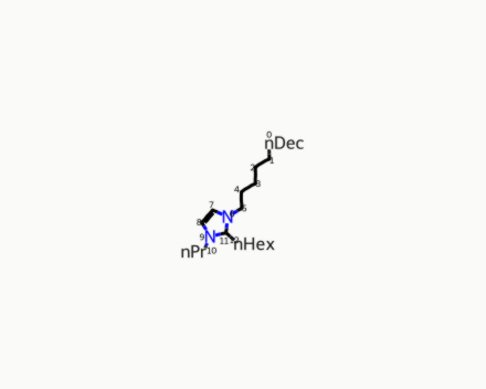 CCCCCCCCCCCCCCCN1C=CN(CCC)C1CCCCCC